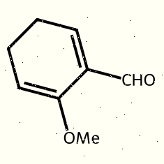 COC1=CCCC=C1C=O